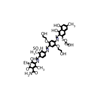 CCn1c(O)c(/N=N/c2ccc(/N=N/c3cc(OCCO)c(/N=N/c4c(SOOO)cc5cc(C)cc(O)c5c4O)cc3OCCO)c(S(=O)(=O)O)c2C)c(C)c(C(N)=O)c1=O